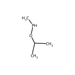 CPOC(C)C